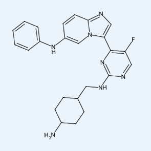 NC1CCC(CNc2ncc(F)c(-c3cnc4ccc(Nc5ccccc5)cn34)n2)CC1